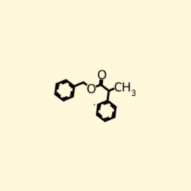 CC(C(=O)OCc1ccccc1)c1[c]cccc1